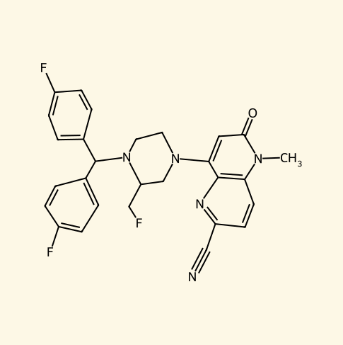 Cn1c(=O)cc(N2CCN(C(c3ccc(F)cc3)c3ccc(F)cc3)C(CF)C2)c2nc(C#N)ccc21